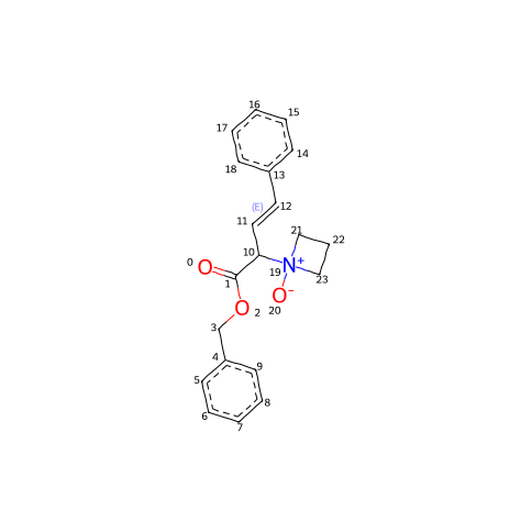 O=C(OCc1ccccc1)C(/C=C/c1ccccc1)[N+]1([O-])CCC1